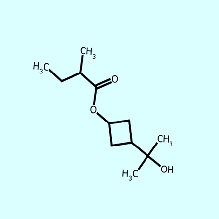 CCC(C)C(=O)OC1CC(C(C)(C)O)C1